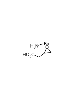 CC(C)(C)N.O=C(O)CC1CO1